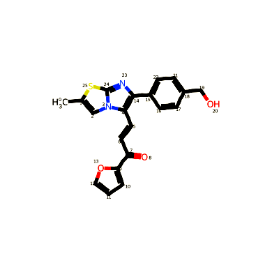 Cc1cn2c(/C=C/C(=O)c3ccco3)c(-c3ccc(CO)cc3)nc2s1